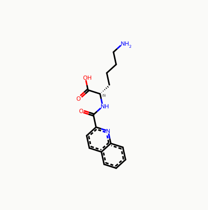 NCCCC[C@H](NC(=O)c1ccc2ccccc2n1)C(=O)O